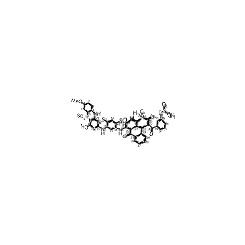 COc1ccc(Nc2nc(O)nc(Nc3cc(Nc4ccc5c6c4C(=O)c4ccccc4-c6c(C(=O)c4cccc(OS(=O)O)c4)c(=O)n5C)c(S(=O)(=O)O)cc3S(=O)(=O)O)n2)c(S(=O)(=O)O)c1